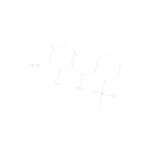 Nc1ncnc(N(N)C2CCCCC2C(F)(F)F)c1N